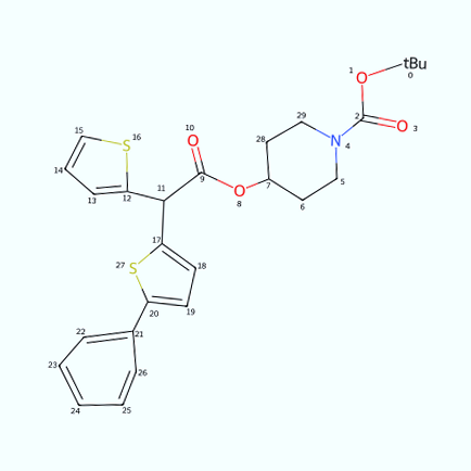 CC(C)(C)OC(=O)N1CCC(OC(=O)C(c2cccs2)c2ccc(-c3ccccc3)s2)CC1